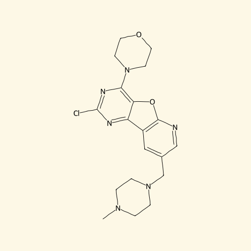 CN1CCN(Cc2cnc3oc4c(N5CCOCC5)nc(Cl)nc4c3c2)CC1